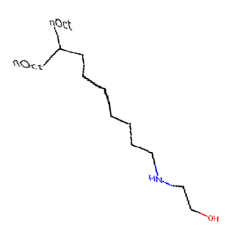 CCCCCCCCC(CCCCCCCC)CCCCCCCNCCO